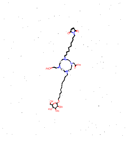 O=C(O)CN1CCCN(CCCCCCCCCCO[C@@H]2OC(CO)[C@@H](O)C(O)C2O)CCN(CCO)CCCN(CCCCCCCCCCN2C(=O)C=CC2=O)CC1